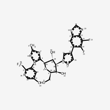 Cc1nc([C@@H]2O[C@H](CO)[C@H](O)[C@H](n3cc(-c4cc5scnc5c(F)c4F)cn3)[C@H]2O)n(-c2cc(Cl)cnc2C(F)(F)F)n1